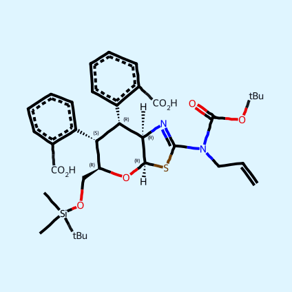 C=CCN(C(=O)OC(C)(C)C)C1=N[C@@H]2[C@@H](c3ccccc3C(=O)O)[C@@H](c3ccccc3C(=O)O)[C@H](CO[Si](C)(C)C(C)(C)C)O[C@@H]2S1